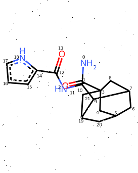 NC(=O)C12CC3CC(C1)C(CNC(=O)c1ccc[nH]1)C(C3)C2